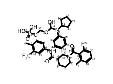 Cc1ccc(NC(=O)[C@H]2CCCN(C(=O)c3c(C)cccc3F)[C@H]2c2ccc(N(C3CCCC3)C(O)OCOP(=O)(O)O)cc2)cc1C(F)(F)F